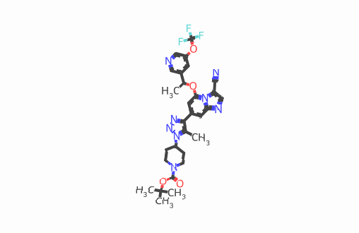 Cc1c(-c2cc(OC(C)c3cncc(OC(F)(F)F)c3)n3c(C#N)cnc3c2)nnn1C1CCN(C(=O)OC(C)(C)C)CC1